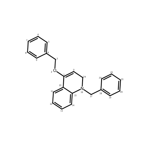 C1=C(OCc2ccccc2)c2ccccc2N(Cc2ccccc2)C1